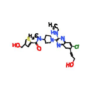 CCNc1nc2cc(Cl)c(C#CCO)cc2nc1N1CCC(N(C)C(=O)c2cc(CO)cs2)CC1